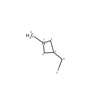 CN1CC(CI)C1